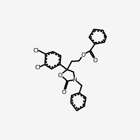 O=C(OCCC1(c2ccc(Cl)c(Cl)c2)CN(Cc2ccccc2)C(=O)O1)c1ccccc1